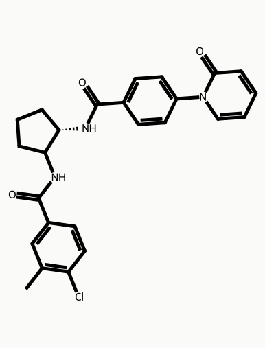 Cc1cc(C(=O)NC2CCC[C@@H]2NC(=O)c2ccc(-n3ccccc3=O)cc2)ccc1Cl